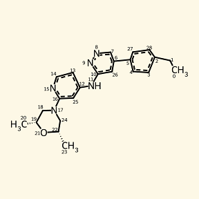 CCc1ccc(-c2cnnc(Nc3ccnc(N4C[C@@H](C)O[C@@H](C)C4)c3)c2)cc1